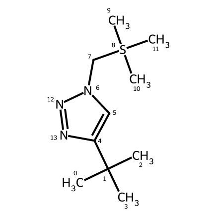 CC(C)(C)c1cn(CS(C)(C)C)nn1